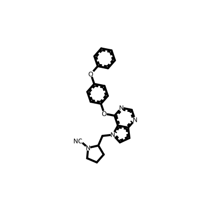 N#CN1CCCC1Cn1ccc2ncnc(Oc3ccc(Oc4ccccc4)cc3)c21